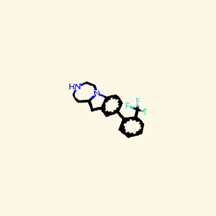 FC(F)(F)c1ccccc1-c1ccc2c(c1)CC1CCNCCN21